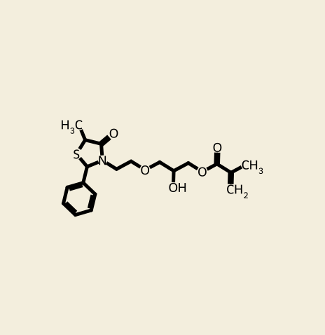 C=C(C)C(=O)OCC(O)COCCN1C(=O)C(C)SC1c1ccccc1